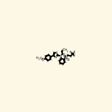 C=CC(=O)N(c1nc(-c2ccc(OC)cc2)cs1)c1ccccc1S(=O)(=O)CCC(F)(F)F